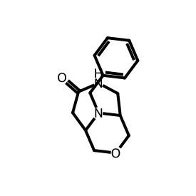 O=C1CC2COCC(CN1)N2Cc1ccccc1